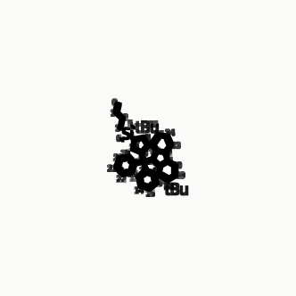 C=CCC[Si](C)(C)C1CCC(C(c2ccccc2)(c2ccccc2)C2C3C=C(C(C)(C)C)C=CC3C3C=CC(C(C)(C)C)=CC32)C1